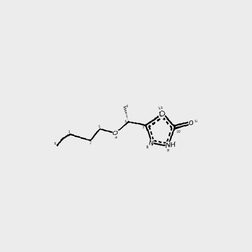 CCCCO[C@H](C)c1n[nH]c(=O)o1